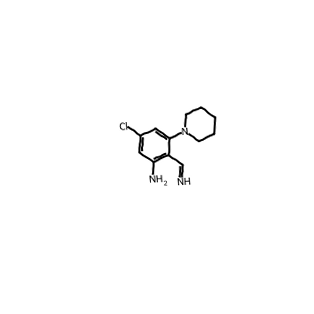 N=Cc1c(N)cc(Cl)cc1N1CCCCC1